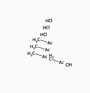 CC(C)=O.CC(C)=O.CC(C)=O.CC(C)=O.Cl.Cl.Cl.Cl